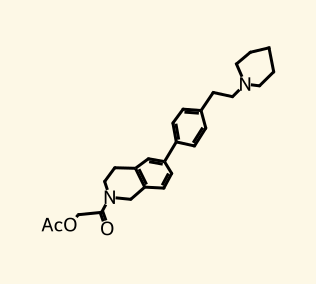 CC(=O)OCC(=O)N1CCc2cc(-c3ccc(CCN4CCCCC4)cc3)ccc2C1